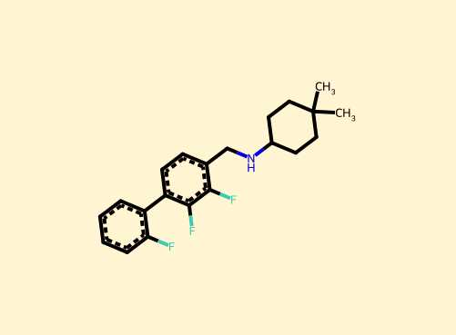 CC1(C)CCC(NCc2ccc(-c3ccccc3F)c(F)c2F)CC1